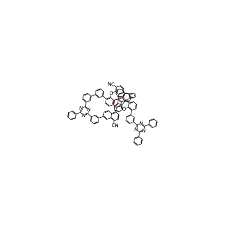 N#Cc1cccc2c1Oc1c(-c3cccc(-c4cccc(-c5nc(-c6ccccc6)nc(-c6cccc(-c7ccc8c(-c9cccc%10c9Oc9c(-c%11cccc(-c%12nc(-c%13ccccc%13)nc(-c%13ccccc%13)n%12)c%11)cccc9C%109c%10ccccc%10-c%10ccccc%109)ccc(C#N)c8c7)c6)n5)c4)c3)cccc1C21c2ccccc2-c2ccccc21